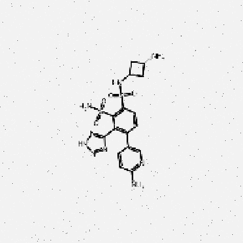 Nc1ccc(-c2ccc(S(=O)(=O)N[C@H]3C[C@H](N)C3)c(S(N)(=O)=O)c2-c2nn[nH]n2)cn1